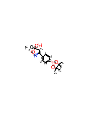 CC1(C)OB(c2ccc(C3=NOC(O)(C(F)(F)F)C3)cc2)OC1(C)C